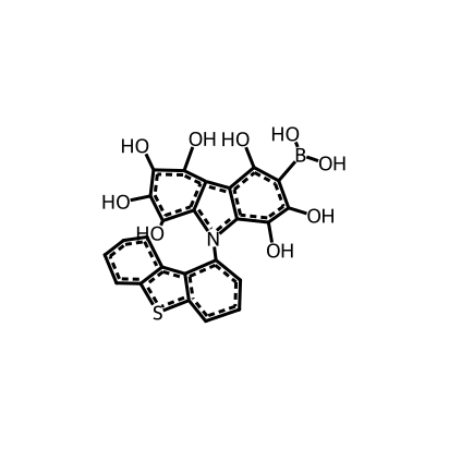 OB(O)c1c(O)c(O)c2c(c1O)c1c(O)c(O)c(O)c(O)c1n2-c1cccc2sc3ccccc3c12